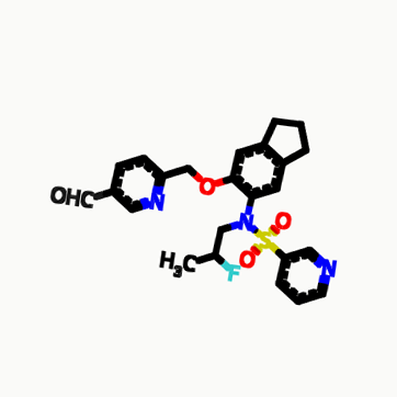 CC(F)CN(c1cc2c(cc1OCc1ccc(C=O)cn1)CCC2)S(=O)(=O)c1cccnc1